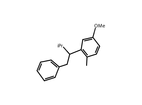 COc1ccc(C)c(C(Cc2ccccc2)C(C)C)c1